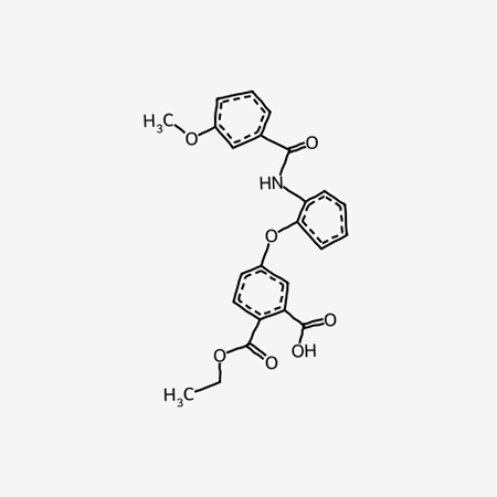 CCOC(=O)c1ccc(Oc2ccccc2NC(=O)c2cccc(OC)c2)cc1C(=O)O